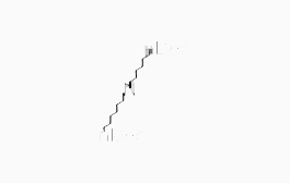 CCCCCCCCCCCCCCCC=NCCCCCCCCCCCCCCCCC